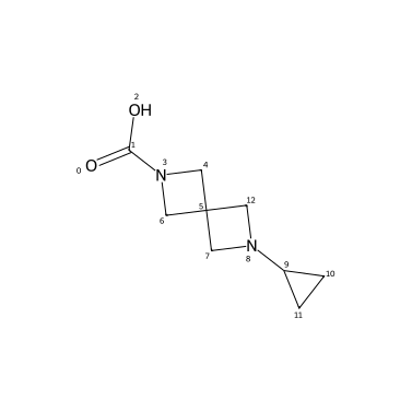 O=C(O)N1CC2(C1)CN(C1CC1)C2